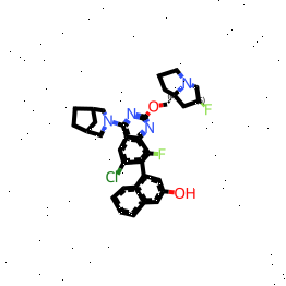 Oc1cc(-c2c(Cl)cc3c(N4CC5CCC(C5)C4)nc(OC[C@]45CCCN4C[C@@H](F)C5)nc3c2F)c2ccccc2c1